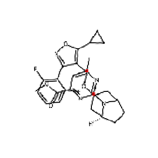 COC(=O)c1cc(C)nc(N2C3CC[C@H]2CC(OCc2c(-c4c(F)cccc4F)noc2C2CC2)C3)n1